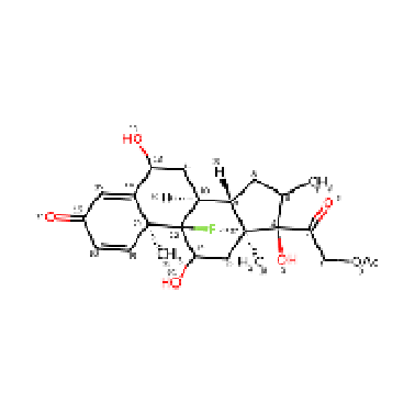 CC(=O)OCC(=O)[C@@]1(O)C(C)C[C@H]2[C@@H]3CC(O)C4=CC(=O)C=C[C@]4(C)[C@@]3(F)C(O)C[C@@]21C